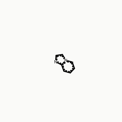 [c]1cccc2nccn12